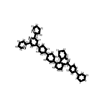 c1ccc(-c2ccc(-c3nc4ccccc4c4c(-c5ccc(-c6ccc(-c7cc(-c8ccccn8)nc(-c8ccccn8)c7)cc6)cc5)cccc34)cc2)cc1